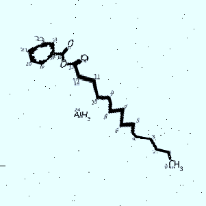 CCCCCCCCCCCCCC(=O)OC(=O)c1ccccc1.[AlH3]